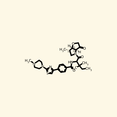 CCC(C)(C)C(NC(=O)c1ccc(-c2csc(N3CCN(C)CC3)n2)cc1)C(=O)N1C[C@H](C)[C@H]2OCC(=O)[C@H]21